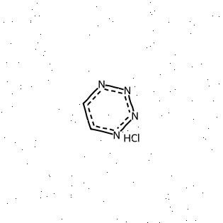 Cl.c1cnnnn1